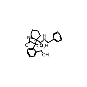 NC(=O)C(C(=O)O)(c1ccccc1CO)C1(C(=O)NCc2ccccc2)CCCCC1